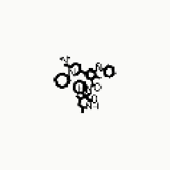 Cc1c(C(=O)NCC2(C3CCCCCC3)C(=O)NC(C)CC2C)cc(C2CCC(CN(C)C)N(C3CCCCCCC3)C2)cc1N(C)C1CCCCC1